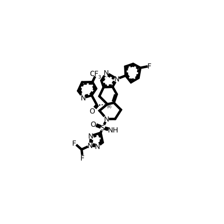 N=S(=O)(c1cnn(C(F)F)n1)N1CCC2=Cc3c(cnn3-c3ccc(F)cc3)C[C@]2(C(=O)c2cc(C(F)(F)F)ccn2)C1